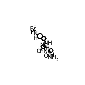 NC(=O)[C@@H]1[C@H]2CC[C@H](C2)[C@@H]1Nc1nc(Nc2ccc3c(c2)CCC(NCC(F)(F)F)CC3)ncc1Cl